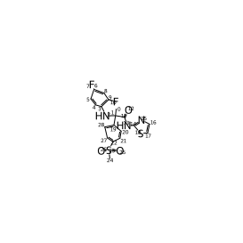 CC(Nc1ccc(F)cc1F)(C(=O)Nc1nccs1)c1ccc(S(C)(=O)=O)cc1